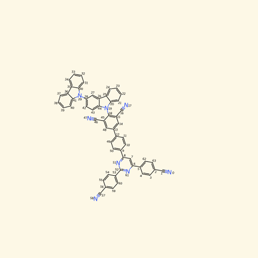 N#Cc1ccc(-c2cc(-c3ccc(-c4cc(C#N)c(-n5c6ccccc6c6cc(-n7c8ccccc8c8ccccc87)ccc65)c(C#N)c4)cc3)nc(-c3ccc(C#N)cc3)n2)cc1